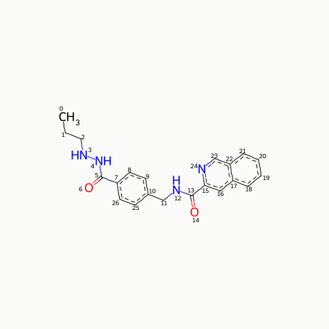 CCCNNC(=O)c1ccc(CNC(=O)c2cc3ccccc3cn2)cc1